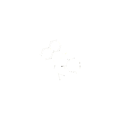 C[C@@H]1CNCCCN1S(=O)(=O)c1cccc2cncc(OCC3CC3)c12